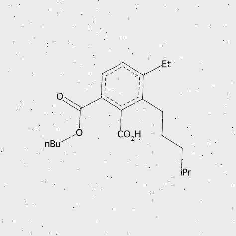 CCCCOC(=O)c1ccc(CC)c(CCCC(C)C)c1C(=O)O